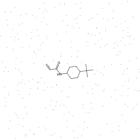 C=CC(=O)NC1CCC(C(C)(C)C)CC1